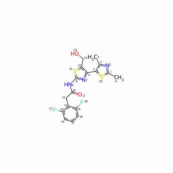 Cc1nc(C)c(-c2nc(NC(=O)Cc3c(F)cccc3F)sc2CO)s1